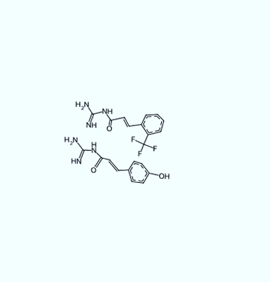 N=C(N)NC(=O)C=Cc1ccc(O)cc1.N=C(N)NC(=O)C=Cc1ccccc1C(F)(F)F